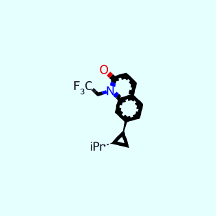 CC(C)[C@H]1C[C@@H]1c1ccc2ccc(=O)n(CC(F)(F)F)c2c1